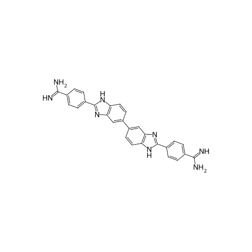 N=C(N)c1ccc(-c2nc3cc(-c4ccc5[nH]c(-c6ccc(C(=N)N)cc6)nc5c4)ccc3[nH]2)cc1